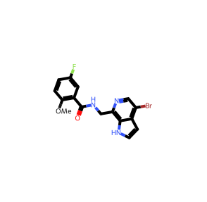 COc1ccc(F)cc1C(=O)NCc1ncc(Br)c2cc[nH]c12